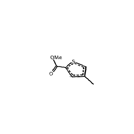 COC(=O)c1[c]c(C)cs1